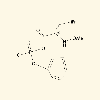 CON[C@@H](CC(C)C)C(=O)OP(=O)(Cl)Oc1ccccc1